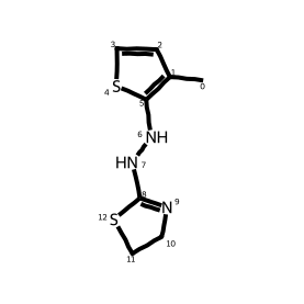 Cc1ccsc1NNC1=NCCS1